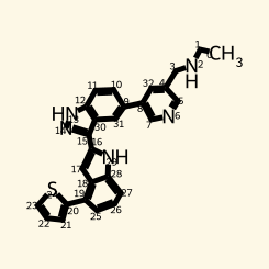 CCNCc1cncc(-c2ccc3[nH]nc(-c4cc5c(-c6cccs6)cccc5[nH]4)c3c2)c1